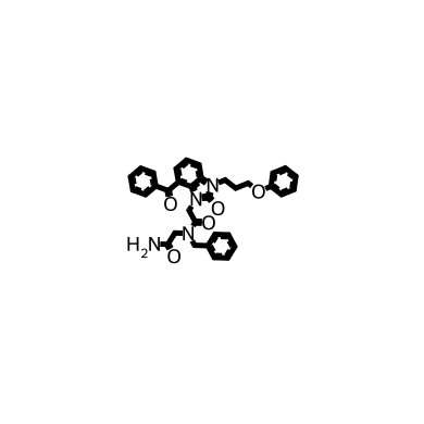 NC(=O)CN(Cc1ccccc1)C(=O)Cn1c(=O)n(CCCOc2ccccc2)c2cccc(C(=O)c3ccccc3)c21